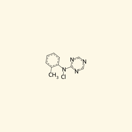 Cc1ccccc1N(Cl)c1ncncn1